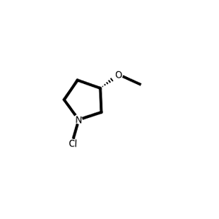 CO[C@H]1CCN(Cl)C1